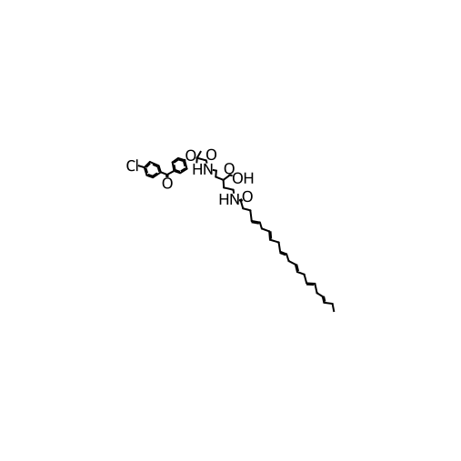 CCC=CCC=CCC=CCC=CCC=CCC=CCCC(=O)NCCC(CCNC(=O)C(C)(C)Oc1ccc(C(=O)c2ccc(Cl)cc2)cc1)C(=O)O